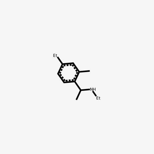 CCNC(C)c1ccc(CC)cc1C